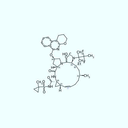 CC[C@@H]1C[C@@H](C)CC/C=C\[C@@H]2C[C@@]2(C(=O)NS(=O)(=O)C2(C)CC2)NC(=O)[C@@H]2C[C@@H](Oc3nc4c(c5ccccc35)CCCO4)CN2C(=O)[C@H]1N(C(=O)O)C(C)(C)C(C)(F)F